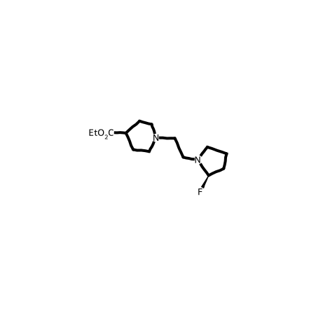 CCOC(=O)C1CCN(CCN2CCC[C@H]2F)CC1